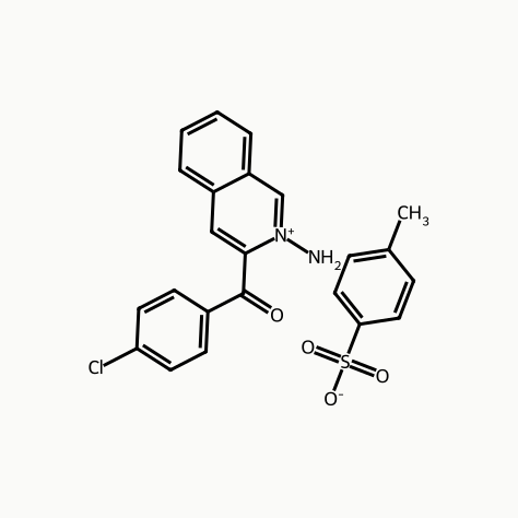 Cc1ccc(S(=O)(=O)[O-])cc1.N[n+]1cc2ccccc2cc1C(=O)c1ccc(Cl)cc1